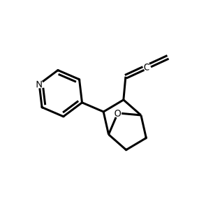 C=C=CC1C2CCC(O2)C1c1ccncc1